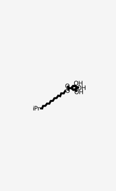 CC(C)CCCCCCCCCCCCCCOC(=O)c1cc(O)c(O)c(O)c1